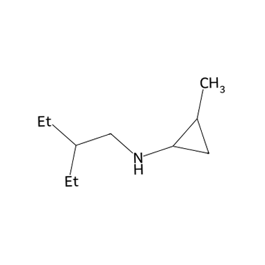 CCC(CC)CNC1CC1C